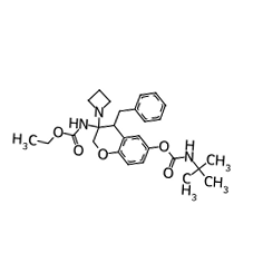 CCOC(=O)NC1(N2CCC2)COc2ccc(OC(=O)NC(C)(C)C)cc2C1Cc1ccccc1